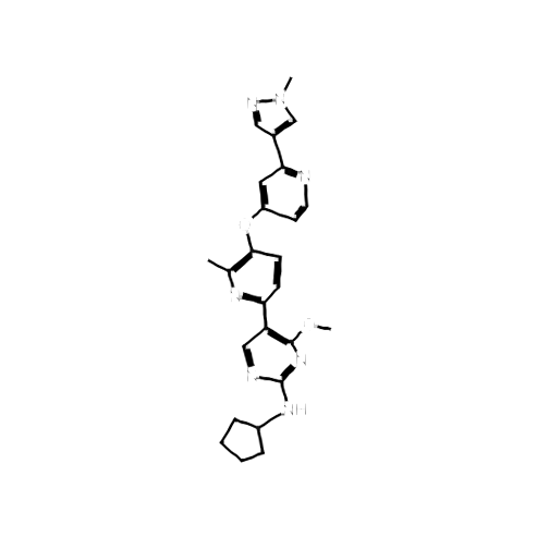 COc1nc(NC2CCCC2)ncc1-c1ccc(Oc2ccnc(-c3cnn(C)c3)c2)c(C)n1